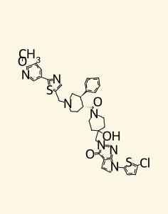 COc1ccc(-c2ncc(CN3CC[C@@H](C(=O)N4CCC(O)(Cn5cnc6c(ccn6-c6ccc(Cl)s6)c5=O)CC4)[C@H](c4ccccc4)C3)s2)cn1